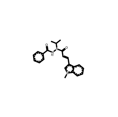 CC(C)N(NC(=O)c1ccccc1)C(=O)C=Cc1cn(C)c2ccccc12